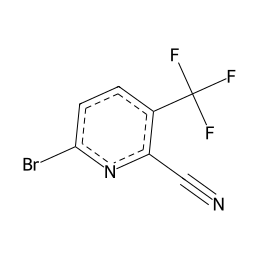 N#Cc1nc(Br)ccc1C(F)(F)F